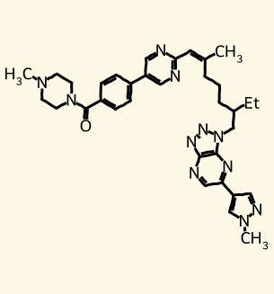 CCC(CCC/C(C)=C\c1ncc(-c2ccc(C(=O)N3CCN(C)CC3)cc2)cn1)Cn1nnc2ncc(-c3cnn(C)c3)nc21